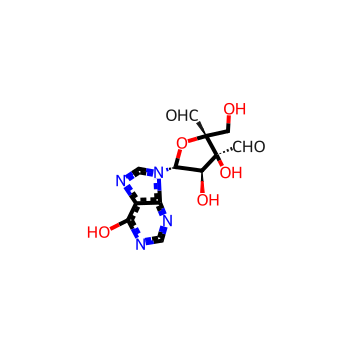 O=C[C@]1(CO)O[C@@H](n2cnc3c(O)ncnc32)[C@H](O)[C@@]1(O)C=O